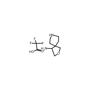 NC1COCC12CCNCC2.O=C(O)C(F)(F)F